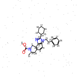 COC(=O)N1Cc2c(ccc3c2nc(C2CCCCC2)n3CCc2ccccc2)C[C@H]1C